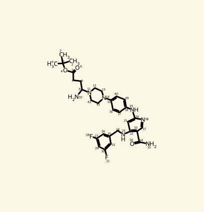 CC(C)(C)OC(=O)CCC(N)N1CCN(c2ccc(Nc3cc(NCc4cc(F)cc(F)c4)c(C(N)=O)cn3)cc2)CC1